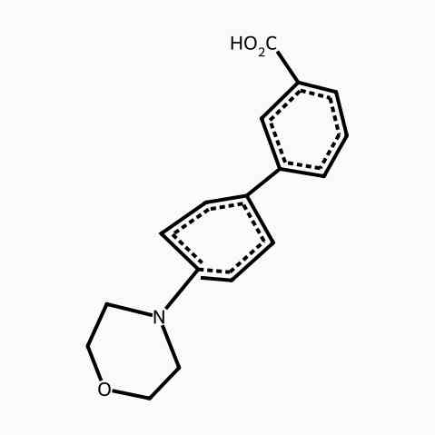 O=C(O)c1cccc(-c2ccc(N3CCOCC3)cc2)c1